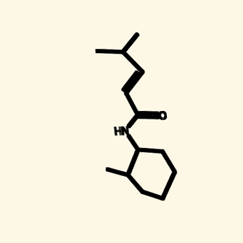 CC(C)/C=C/C(=O)NC1CCCCC1C